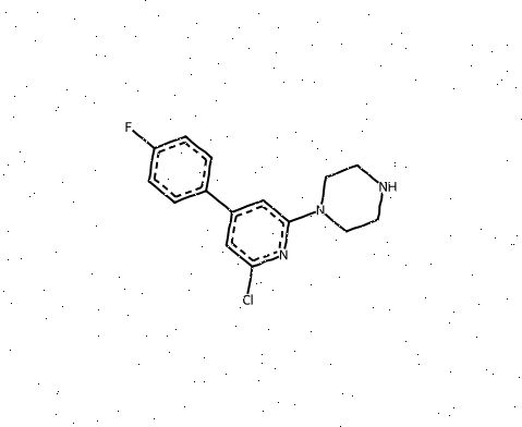 Fc1ccc(-c2cc(Cl)nc(N3CCNCC3)c2)cc1